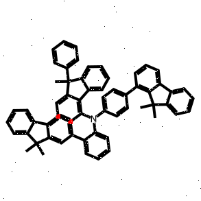 CC1(C)c2ccccc2-c2ccc(-c3ccccc3N(c3ccc(-c4cccc5c4C(C)(C)c4ccccc4-5)cc3)c3cccc4c3-c3ccccc3C4(C)c3ccccc3)cc21